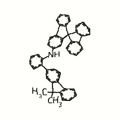 CC1(C)c2ccccc2-c2ccc(-c3ccccc3Nc3ccc4c(c3)C3(c5ccccc5-c5ccccc53)c3ccccc3-4)cc21